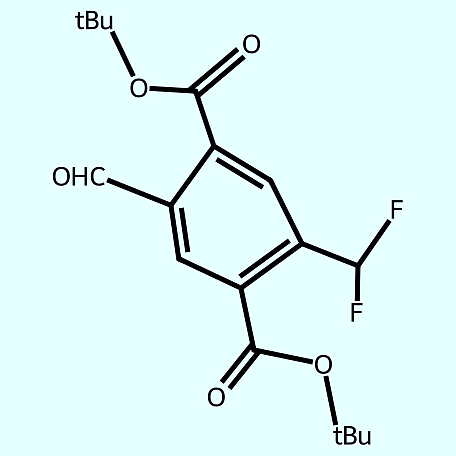 CC(C)(C)OC(=O)c1cc(C(F)F)c(C(=O)OC(C)(C)C)cc1C=O